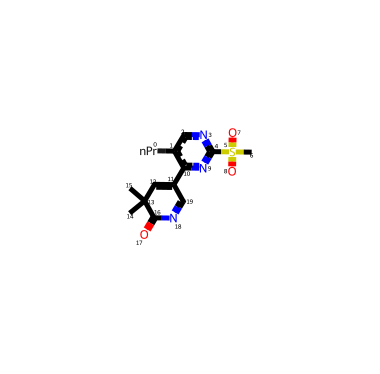 CCCc1cnc(S(C)(=O)=O)nc1C1=CC(C)(C)C(=O)N=C1